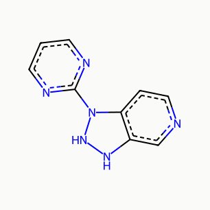 c1cnc(N2NNc3cnccc32)nc1